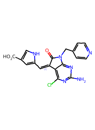 Nc1nc(Cl)c2c(n1)N(Cc1ccncc1)C(=O)/C2=C\c1cc(C(=O)O)c[nH]1